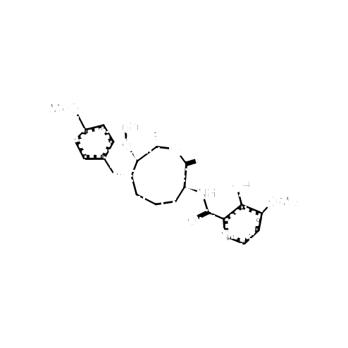 CCCO[C@@H]1[C@@H](Cc2ccc(OC)cc2)CCC[C@H](NC(=O)c2nccc(OC)c2O)C(=O)O[C@H]1C